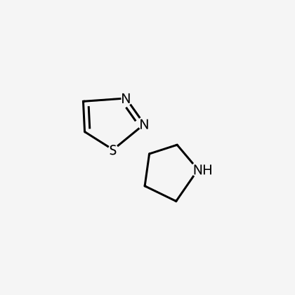 C1CCNC1.c1csnn1